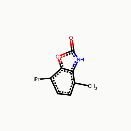 Cc1ccc(C(C)C)c2oc(=O)[nH]c12